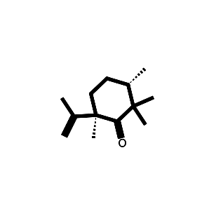 C=C(C)[C@@]1(C)CC[C@H](C)C(C)(C)C1=O